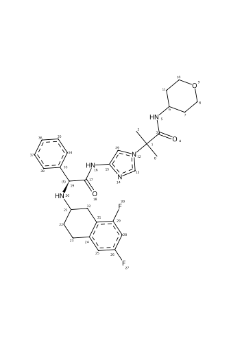 CC(C)(C(=O)NC1CCOCC1)n1cnc(NC(=O)[C@@H](NC2CCc3cc(F)cc(F)c3C2)c2ccccc2)c1